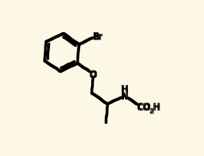 CC(COc1ccccc1Br)NC(=O)O